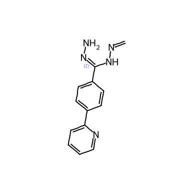 C=NN/C(=N\N)c1ccc(-c2ccccn2)cc1